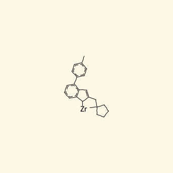 Cc1ccc(-c2cccc3c2C=C(CC2(C)CCCC2)[CH]3[Zr])cc1